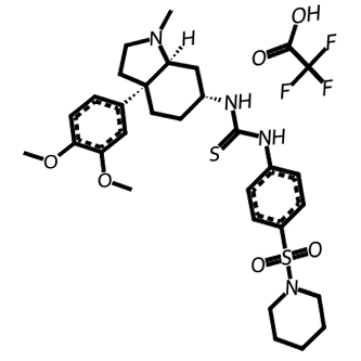 COc1ccc([C@@]23CC[C@@H](NC(=S)Nc4ccc(S(=O)(=O)N5CCCCC5)cc4)C[C@@H]2N(C)CC3)cc1OC.O=C(O)C(F)(F)F